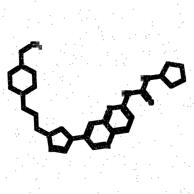 CCN1CCN(CCCN2CC(c3cnc4ccc(NC(=O)NC5CCCC5)nc4c3)C=N2)CC1